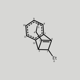 CCC1[C]2C(CC(C)C)=C1c1ccccc12